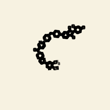 N#Cc1ncc(N2CCC3(CCN(C(=O)c4ccc(N5CCN(CC6CCN(c7ccc8c(c7)C(=O)N(C7CCC(=O)CC7=O)C8=O)CC6)CC5)nc4)CC3)C2)cc1C(F)(F)F